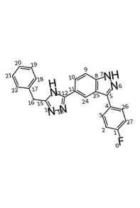 Fc1ccc(-c2n[nH]c3ccc(-c4nnc(Cc5ccccc5)[nH]4)cc23)cc1